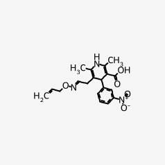 C=CCON=CCC1=C(C)NC(C)=C(C(=O)O)C1c1cccc([N+](=O)[O-])c1